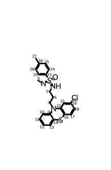 CN=S(=O)(NCCCN1c2ccccc2Sc2ccc(Cl)cc21)c1ccc(C)cc1